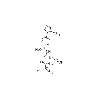 Cc1ncsc1-c1ccc([C@H](C)NC(=O)[C@@H]2C[C@@H](O)CN2C(=O)[C@H](N)C(C)(C)C)cc1